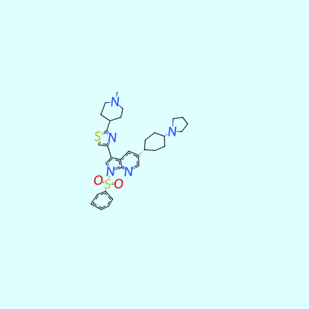 CN1CCC(c2nc(-c3cn(S(=O)(=O)c4ccccc4)c4ncc([C@H]5CC[C@@H](N6CCCC6)CC5)cc34)cs2)CC1